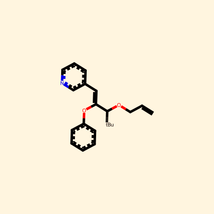 C=CCOC(C(=Cc1cccnc1)Oc1ccccc1)C(C)(C)C